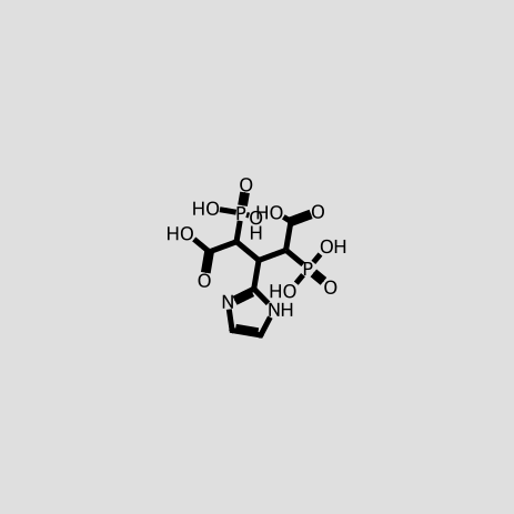 O=C(O)C(C(c1ncc[nH]1)C(C(=O)O)P(=O)(O)O)P(=O)(O)O